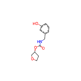 O=C(NCc1cccc(O)c1)O[C@H]1CCOC1